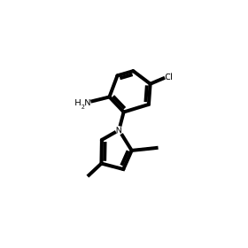 Cc1cc(C)n(-c2cc(Cl)ccc2N)c1